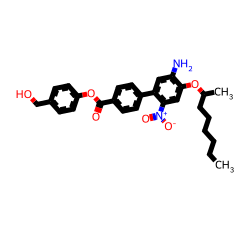 CCCCCCC(C)Oc1cc([N+](=O)[O-])c(-c2ccc(C(=O)Oc3ccc(CO)cc3)cc2)cc1N